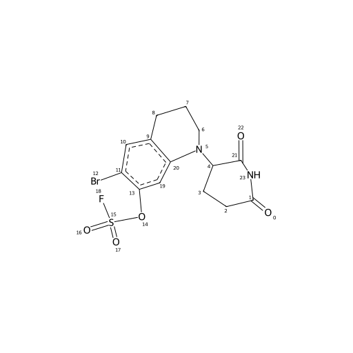 O=C1CCC(N2CCCc3cc(Br)c(OS(=O)(=O)F)cc32)C(=O)N1